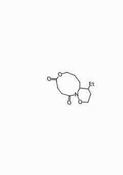 CCC1CCON2C(=O)CCC(=O)OCCCC12